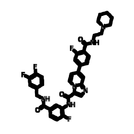 O=C(NCc1ccc(F)c(F)c1)c1ccc(F)c(NC(=O)c2cnc3cc(-c4ccc(C(=O)NCCN5CCCCC5)c(F)c4)ccn23)c1